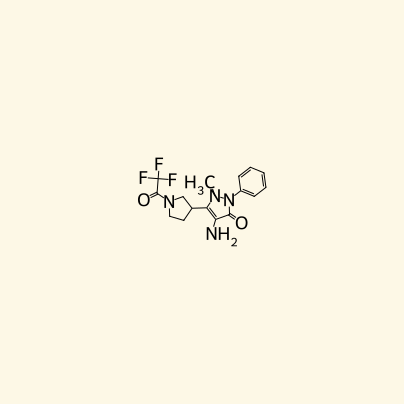 Cn1c(C2CCN(C(=O)C(F)(F)F)C2)c(N)c(=O)n1-c1ccccc1